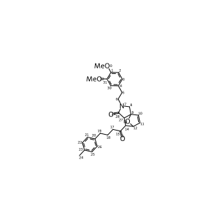 COc1ccc(CCN2CC34C=CC(O3)C(C(=O)CCCc3ccc(C)cc3)C4C2=O)cc1OC